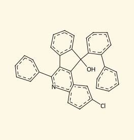 OC1(c2ccccc2-c2ccccc2)c2ccccc2-c2c(-c3ccccc3)nc3ccc(Cl)cc3c21